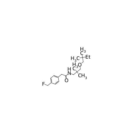 CCC(C)(C)COCC(C)(C)CNC(=O)Cc1ccc(CF)cc1